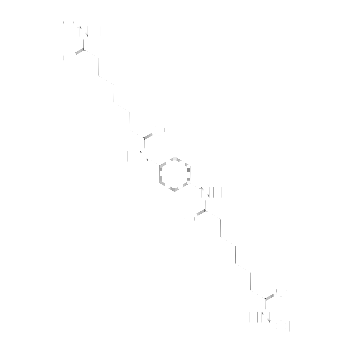 O=C(CCCCCCC(=O)Nc1ccc(NC(=O)CCCCCCC(=O)NO)cc1)NO